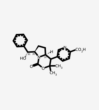 CC1(C)OC(=O)N2[C@@H]([C@H](O)c3ccccc3)CC[C@H]2C1c1ccc(C(=O)O)nc1